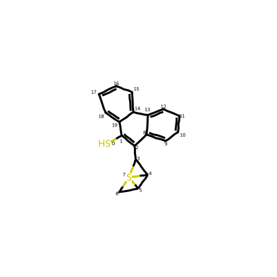 Sc1c(C2C3C4CS423)c2ccccc2c2ccccc12